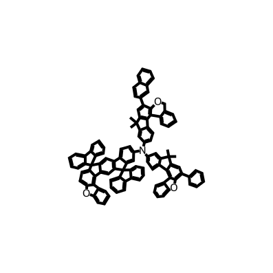 CC1(C)c2cc(N(c3ccc4c(c3)C(C)(C)c3cc(-c5ccccc5)c5oc6ccccc6c5c3-4)c3ccc4c(c3)C3(c5ccccc5-c5ccccc53)c3cc5c(cc3-4)C3(c4ccccc4-c4ccccc43)c3ccc4oc6ccccc6c4c3-5)ccc2-c2c1cc(-c1ccc3ccccc3c1)c1c2-c2ccccc2CO1